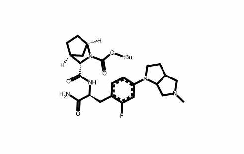 CN1CC2CCN(c3ccc(C[C@H](NC(=O)[C@@H]4[C@H]5CC[C@H](C5)N4C(=O)OC(C)(C)C)C(N)=O)c(F)c3)C2C1